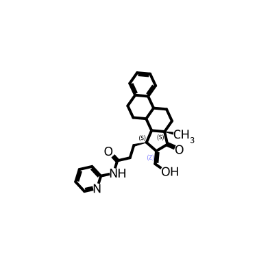 C[C@]12CCC3c4ccccc4CCC3C1[C@H](CCC(=O)Nc1ccccn1)/C(=C/O)C2=O